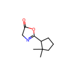 CC1(C)CCCC1C1=NCC(=O)O1